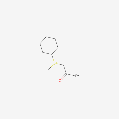 CC(C)C(=O)C[S+](C)C1CCCCC1